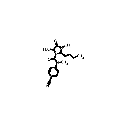 CCCCC1N(C)C(=O)C(C)N1C(=O)N(C)c1ccc(C#N)cc1